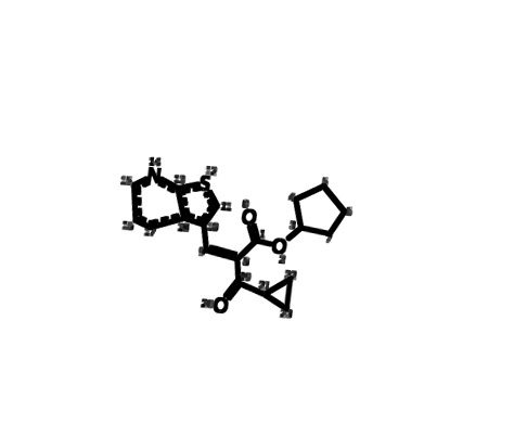 O=C(OC1CCCC1)/C(=C\c1csc2ncccc12)C(=O)C1CC1